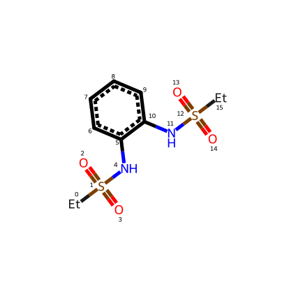 CCS(=O)(=O)Nc1ccccc1NS(=O)(=O)CC